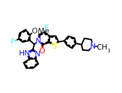 COc1ccc(F)cc1C(c1nc2ccccc2[nH]1)n1cc(F)c2cc(-c3ccc(C4CCN(C)CC4)cc3)sc2c1=O